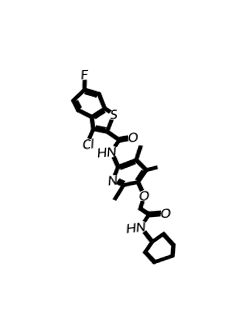 Cc1nc(NC(=O)c2sc3cc(F)ccc3c2Cl)c(C)c(C)c1OCC(=O)NC1CCCCC1